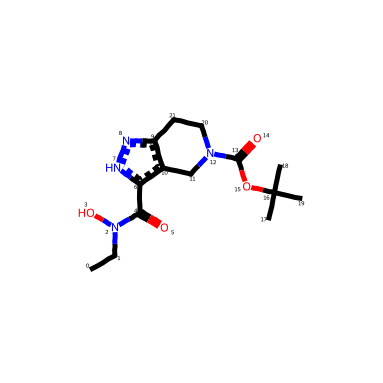 CCN(O)C(=O)c1[nH]nc2c1CN(C(=O)OC(C)(C)C)CC2